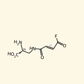 N[C@@H](CNC(=O)/C=C/C(=O)F)C(=O)O